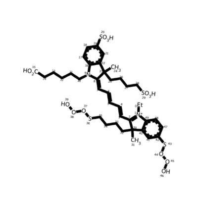 CC[N+]1=C(/C=C/C=C/C=C2/N(CCCCCC(=O)O)c3ccc(S(=O)(=O)O)cc3C2(C)CCCCS(=O)(=O)O)C(C)(CCCCSOOO)c2cc(SOOO)ccc21